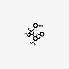 Cn1cc(-c2cc([N+](=O)[O-])cc(F)c2Oc2ccccc2)c2cc[nH]c2c1=O.Oc1ccccc1